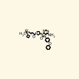 C[N+]([O-])(C/C=C/C(=O)N1CC[C@@H](n2c(=O)n(-c3ccc(Oc4ccccc4)cc3)c3c(N)ncnc32)C1)C1CCC1